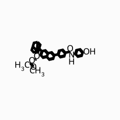 COC(C)OCOc1cc2ccc(-c3ccc(C(=O)Nc4ccc(O)cc4)cc3)cc2cc1C12CC3CC(CC(C3)C1)C2